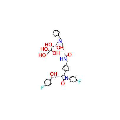 O=C(CCCCN(Cc1ccccc1)CC(O)C(O)C(O)C(O)CO)NCc1ccc(C2C(CCC(O)c3ccc(F)cc3)C(=O)N2c2ccc(F)cc2)cc1